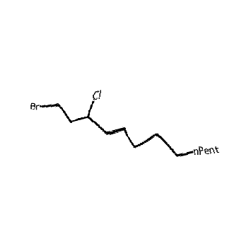 CCCCCCCCCCC(Cl)CCBr